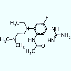 CCN(CCN(C)C)c1cc(F)c(NC(=N)N)cc1NC(C)=O